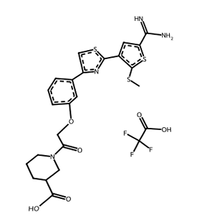 CSc1sc(C(=N)N)cc1-c1nc(-c2cccc(OCC(=O)N3CCCC(C(=O)O)C3)c2)cs1.O=C(O)C(F)(F)F